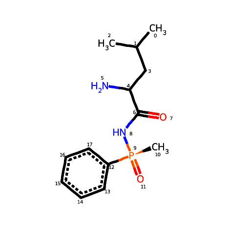 CC(C)CC(N)C(=O)N[P@](C)(=O)c1ccccc1